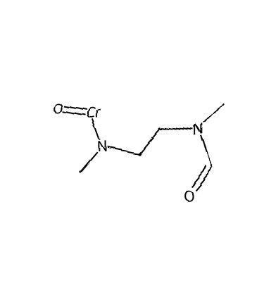 CN(C=O)CC[N](C)[Cr]=[O]